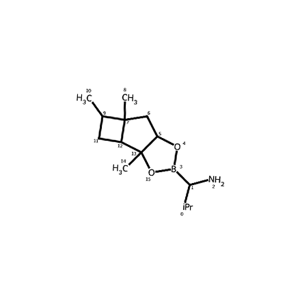 CC(C)C(N)B1OC2CC3(C)C(C)CC3C2(C)O1